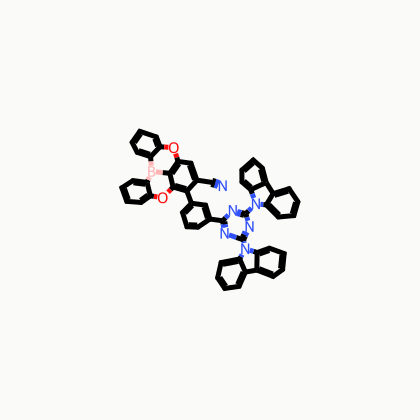 N#Cc1cc2c3c(c1-c1cccc(-c4nc(-n5c6ccccc6c6ccccc65)nc(-n5c6ccccc6c6ccccc65)n4)c1)Oc1ccccc1B3c1ccccc1O2